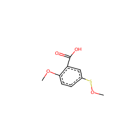 COSc1ccc(OC)c(C(=O)O)c1